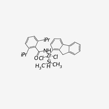 CC(C)c1cccc(C(C)C)c1C(=O)[NH][Zr]([Cl])([Cl])([c]1cccc2c1Cc1ccccc1-2)[SiH](C)C